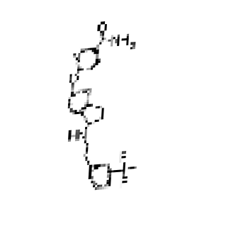 NC(=O)c1ccc(Oc2ccc3c(c2)CCC3NCCc2cccc(C(F)(F)F)c2)nc1